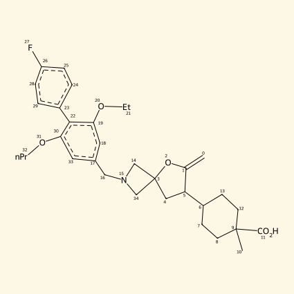 C=C1OC2(CC1C1CCC(C)(C(=O)O)CC1)CN(Cc1cc(OCC)c(-c3ccc(F)cc3)c(OCCC)c1)C2